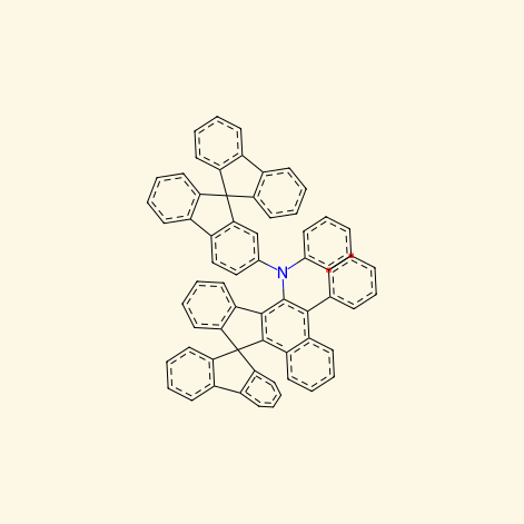 c1ccc(-c2c(N(c3ccccc3)c3ccc4c(c3)C3(c5ccccc5-c5ccccc53)c3ccccc3-4)c3c(c4ccccc24)C2(c4ccccc4-c4ccccc42)c2ccccc2-3)cc1